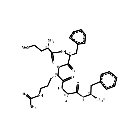 CSCC[C@H](N)C(=O)N[C@@H](Cc1ccccc1)C(=O)N[C@@H](CCCNC(=N)N)C(=O)N[C@@H](C)C(=O)N[C@@H](Cc1ccccc1)C(=O)O